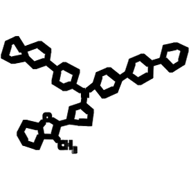 Cc1c(-c2cccc(N(c3ccc(-c4ccc(-c5ccccc5)cc4)cc3)c3ccc(-c4ccc5ccccc5c4)cc3)c2)oc2ccccc12